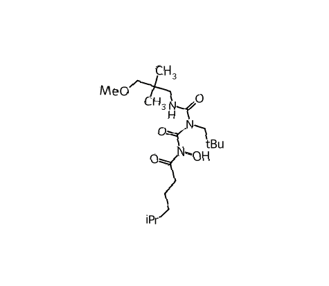 COCC(C)(C)CNC(=O)N(CC(C)(C)C)C(=O)N(O)C(=O)CCCC(C)C